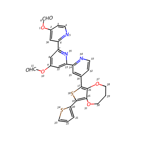 O=COc1ccnc(-c2cc(OC=O)cc(-c3cc(-c4sc(-c5cccs5)c5c4OCCCO5)ccn3)n2)c1